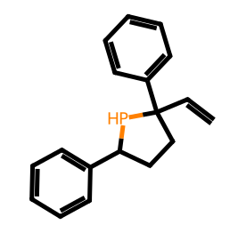 C=CC1(c2ccccc2)CCC(c2ccccc2)P1